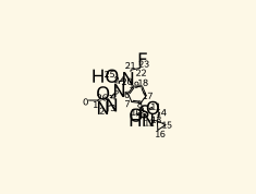 Cc1nnc(N2c3cc(S(=O)(=O)NC4(C)CC4)ccc3N(CCF)C2O)o1